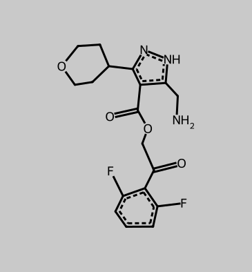 NCc1[nH]nc(C2CCOCC2)c1C(=O)OCC(=O)c1c(F)cccc1F